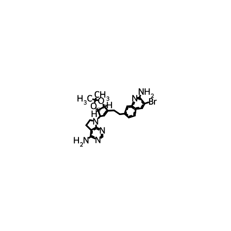 CC1(C)O[C@@H]2C(CCc3ccc4cc(Br)c(N)nc4c3)=CC(N3CCc4c(N)ncnc43)[C@@H]2O1